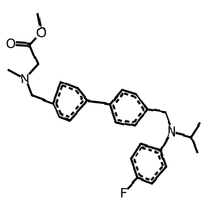 COC(=O)CN(C)Cc1ccc(-c2ccc(CN(c3ccc(F)cc3)C(C)C)cc2)cc1